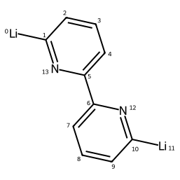 [Li][c]1cccc(-c2ccc[c]([Li])n2)n1